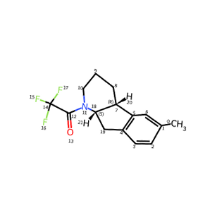 Cc1ccc2c(c1)[C@H]1CCCN(C(=O)C(F)(F)F)[C@H]1C2